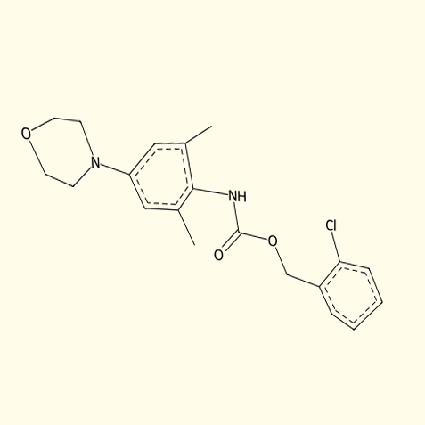 Cc1cc(N2CCOCC2)cc(C)c1NC(=O)OCc1ccccc1Cl